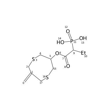 C=C1CSCC(OC(=O)C(CC)P(=O)(O)O)CSC1